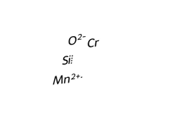 [Cr].[Mn+2].[O-2].[Si]